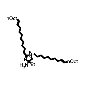 CCCCCCCCC=CCCCCCCCCC1=NC(N)(CC)C[N+]1(C)CCCCCCCCC=CCCCCCCCC